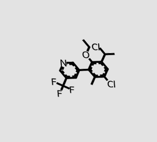 CCOc1c(C(C)Cl)cc(Cl)c(C)c1-c1cncc(C(F)(F)F)c1